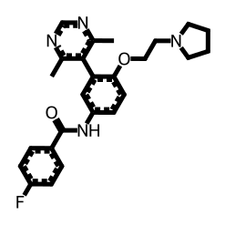 Cc1ncnc(C)c1-c1cc(NC(=O)c2ccc(F)cc2)ccc1OCCN1CCCC1